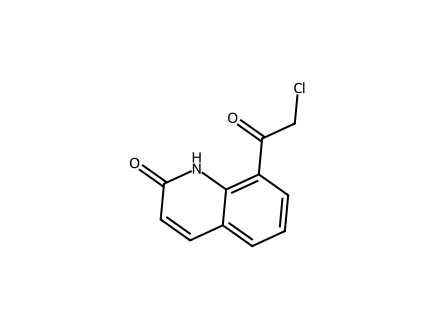 O=C(CCl)c1cccc2ccc(=O)[nH]c12